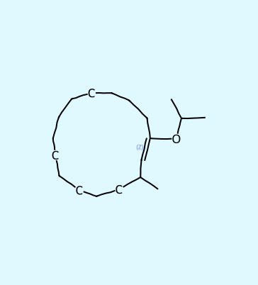 CC1/C=C(\OC(C)C)CCCCCCCCCCCC1